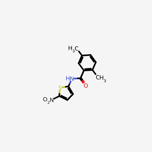 Cc1ccc(C)c(C(=O)Nc2ccc([N+](=O)[O-])s2)c1